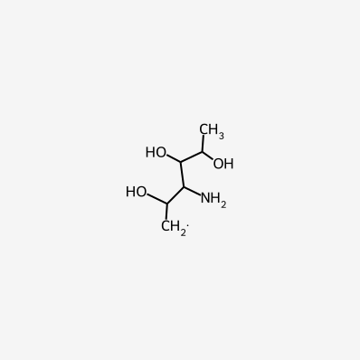 [CH2]C(O)C(N)C(O)C(C)O